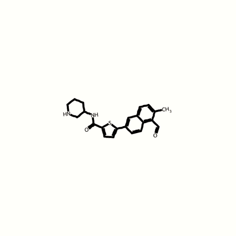 Cc1ccc2cc(-c3ccc(C(=O)NC4CCCNC4)s3)ccc2c1C=O